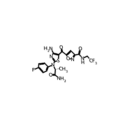 C[C@H](C(N)=O)N(c1ccc(F)cc1)c1nc(N)c(C(=O)c2cc(C(=O)NCC(F)(F)F)no2)s1